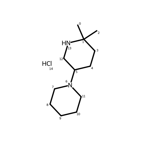 CC1(C)CCC(N2CCCCC2)CN1.Cl